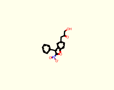 O=C(CO)Cc1ccc2oc([N+](=O)[O-])c(-c3ccccc3)c2c1